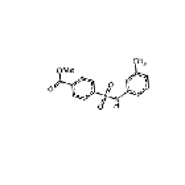 COC(=O)c1ccc(S(=O)(=O)Nc2cccc(C)c2)cc1